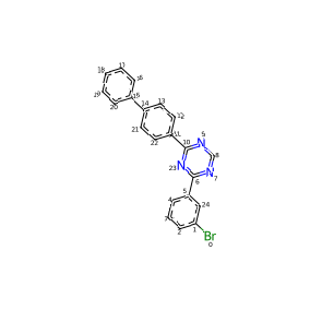 Brc1cccc(-c2ncnc(-c3ccc(-c4ccccc4)cc3)n2)c1